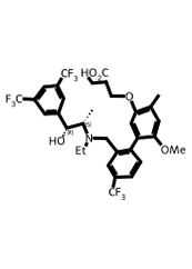 CCN(Cc1cc(C(F)(F)F)ccc1-c1cc(OCCCC(=O)O)c(C)cc1OC)[C@@H](C)[C@H](O)c1cc(C(F)(F)F)cc(C(F)(F)F)c1